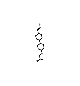 CCC=CC1CCC(C2CCC(CCC(F)CC)CC2)CC1